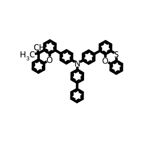 CC1(C)c2ccccc2Oc2c(-c3ccc(N(c4ccc(-c5ccccc5)cc4)c4ccc(-c5cccc6c5Oc5ccccc5S6)cc4)cc3)cccc21